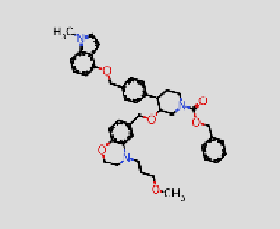 COCCCN1CCOc2ccc(COC3CN(C(=O)OCc4ccccc4)CCC3c3ccc(COc4cccc5c4ccn5C)cc3)cc21